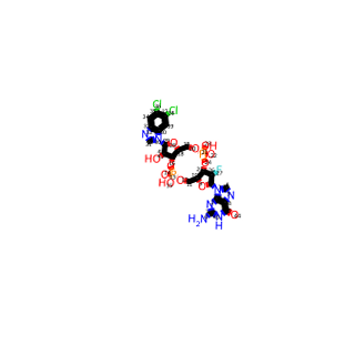 Nc1nc2c(ncn2C2OC3COP(=O)(O)OC4C(COP(=O)(O)OC3C2F)OC(n2cnc3cc(Cl)c(Cl)cc32)C4O)c(=O)[nH]1